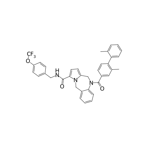 Cc1ccccc1-c1ccc(C(=O)N2Cc3ccc(C(=O)NCc4ccc(OC(F)(F)F)cc4)n3Cc3ccccc32)cc1C